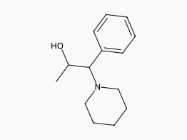 CC(O)C(c1ccccc1)N1CCCCC1